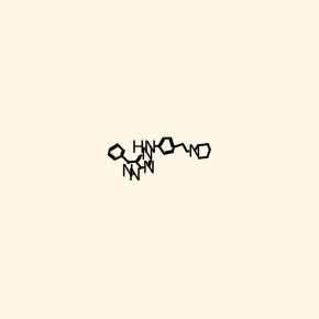 c1ccc(-c2nnc3ncn(Nc4ccc(CCN5CCCCC5)cc4)cc2-3)cc1